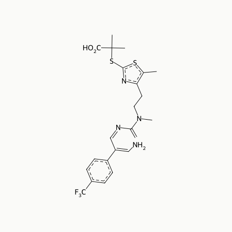 C=C(/N=C\C(=C/N)c1ccc(C(F)(F)F)cc1)N(C)CCc1nc(SC(C)(C)C(=O)O)sc1C